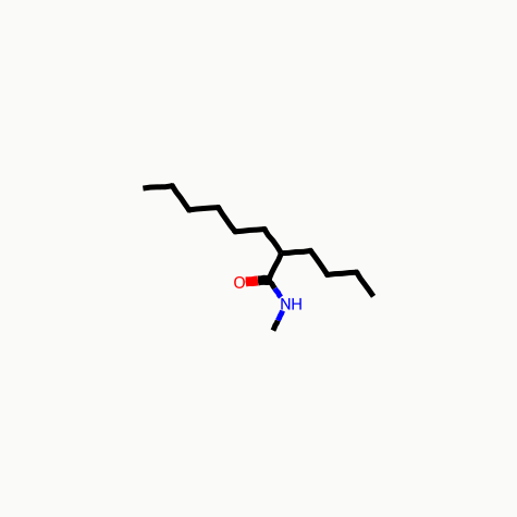 CCCCCCC(CCCC)C(=O)NC